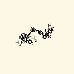 Cc1c(C#Cc2cnn(CCCN3CCN(c4cccc5c4CN(C4CCC(=O)NC4=O)C5=O)CC3)c2)sc2c1C(c1ccc(Cl)cc1)=N[C@@H](C)c1nnc(C)n1-2